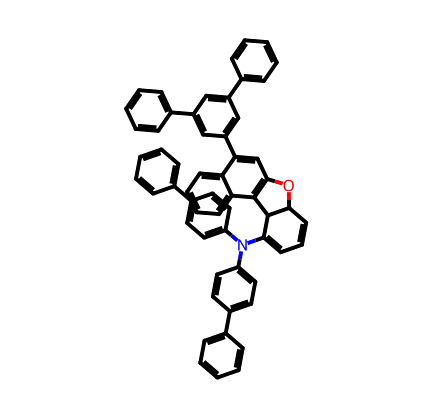 C1=CC2Oc3cc(-c4cc(-c5ccccc5)cc(-c5ccccc5)c4)c4ccccc4c3C2C(N(c2ccc(-c3ccccc3)cc2)c2ccc(-c3ccccc3)cc2)=C1